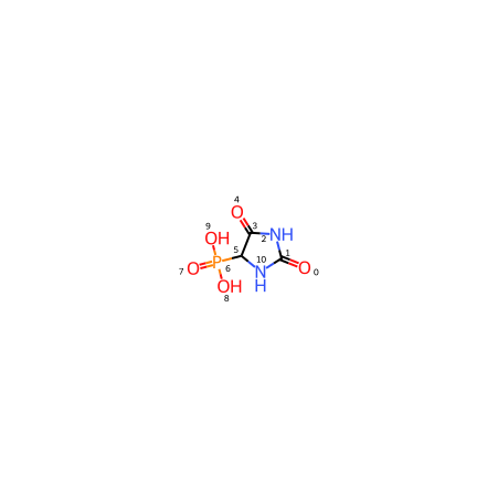 O=C1NC(=O)C(P(=O)(O)O)N1